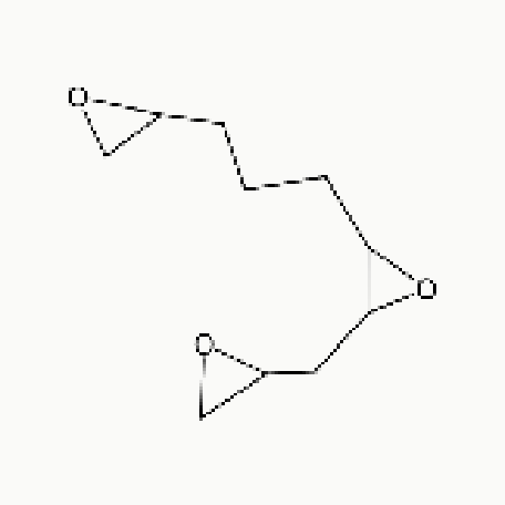 C(CC1CO1)CC1OC1CC1CO1